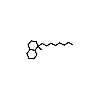 CCCCCCCCC1(C)CCCC2CCCCC21